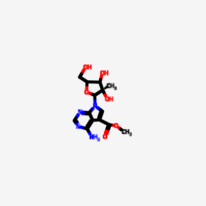 COC(=O)c1cn(C2OC(CO)C(O)[C@@]2(C)O)c2ncnc(N)c12